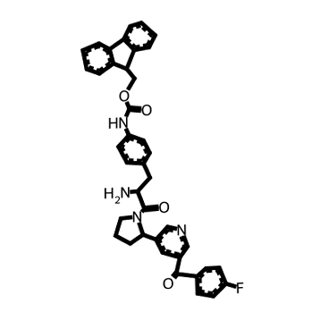 NC(Cc1ccc(NC(=O)OCC2c3ccccc3-c3ccccc32)cc1)C(=O)N1CCCC1c1cncc(C(=O)c2ccc(F)cc2)c1